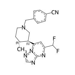 C[C@@H]1CCN(Cc2ccc(C#N)cc2)C[C@H]1c1cc(C(F)F)nc2ncnn12